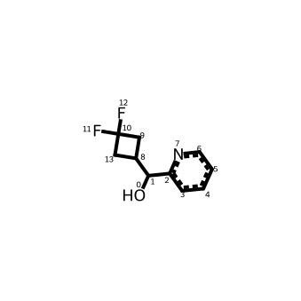 OC(c1ccccn1)C1CC(F)(F)C1